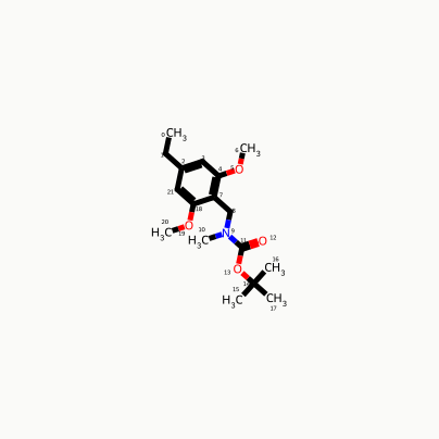 CCc1cc(OC)c(CN(C)C(=O)OC(C)(C)C)c(OC)c1